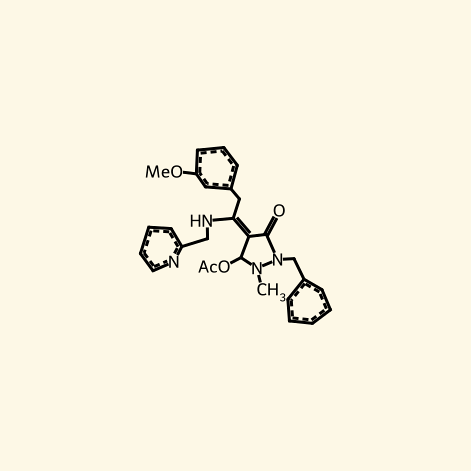 COc1cccc(CC(NCc2ccccn2)=C2C(=O)N(Cc3ccccc3)N(C)C2OC(C)=O)c1